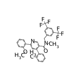 COc1ccccc1-c1cc(-c2ccccc2C)c(C(=O)N(C)Cc2cc(C(F)(F)F)cc(C(F)(F)F)c2)cn1